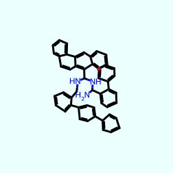 NC(NC(NCc1ccccc1-c1ccc(-c2ccccc2)cc1)c1c2ccccc2cc2c1ccc1ccccc12)c1ccccc1-c1ccccc1